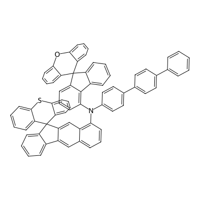 c1ccc(-c2ccc(-c3ccc(N(c4cccc5c4-c4ccccc4C54c5ccccc5Oc5ccccc54)c4cccc5cc6c(cc45)C4(c5ccccc5Sc5ccccc54)c4ccccc4-6)cc3)cc2)cc1